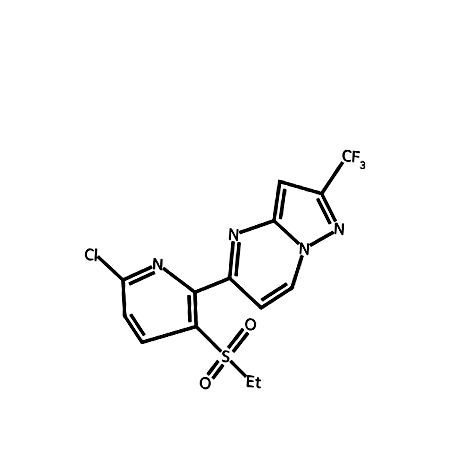 CCS(=O)(=O)c1ccc(Cl)nc1-c1ccn2nc(C(F)(F)F)cc2n1